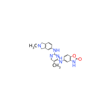 Cc1cnc(Nc2ccc3c(c2)CN(C)C3)nc1Nc1ccc2oc(=O)[nH]c2c1